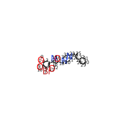 COc1cc2c(c(Br)c1OC)OCC1C2=NOC1CN1CCN(CC(C)=Cc2ccccc2)CC1